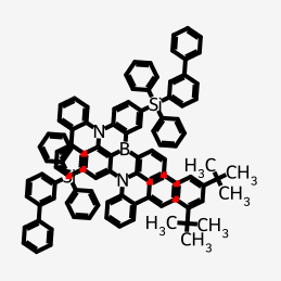 CC(C)(C)c1cc(-c2ccc3c(c2)N(c2ccccc2-c2ccccc2)c2cc([Si](c4ccccc4)(c4ccccc4)c4cccc(-c5ccccc5)c4)cc4c2B3c2cc([Si](c3ccccc3)(c3ccccc3)c3cccc(-c5ccccc5)c3)ccc2N4c2ccccc2-c2ccccc2)cc(C(C)(C)C)c1